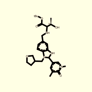 Cc1cc(C2Nc3cc(CNC(C(=O)OC(C)(C)C)[C@@H](C)O)ccc3N2CC2CCOC2)cn(C)c1=O